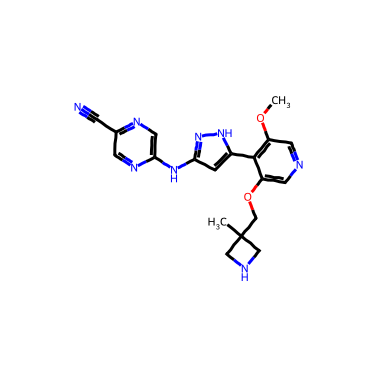 COc1cncc(OCC2(C)CNC2)c1-c1cc(Nc2cnc(C#N)cn2)n[nH]1